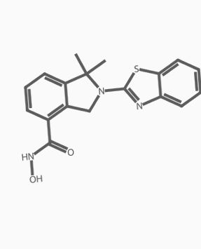 CC1(C)c2cccc(C(=O)NO)c2CN1c1nc2ccccc2s1